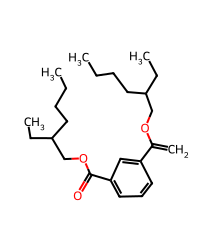 C=C(OCC(CC)CCCC)c1cccc(C(=O)OCC(CC)CCCC)c1